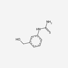 NC(=S)Nc1cccc(CO)c1